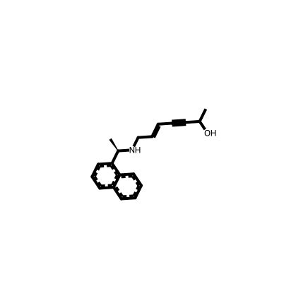 CC(O)C#C/C=C/CN[C@H](C)c1cccc2ccccc12